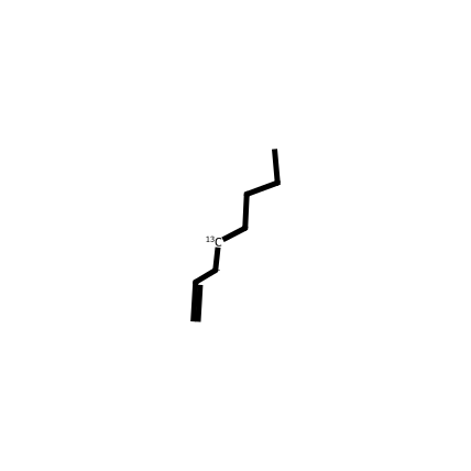 C=C[CH][13CH2]CCCC